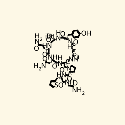 CC[C@H](C)[C@@H]1NC(=O)[C@H](Cc2ccc(O)cc2)NC(=O)CCC(=O)NC[C@@H](C(=O)N2CCC[C@H]2C(=O)N[C@@H](Cc2cccs2)C(=O)NCC(N)=O)NC(=O)[C@H](CC(N)=O)NC(=O)[C@H](CCC(N)=O)NC1=O